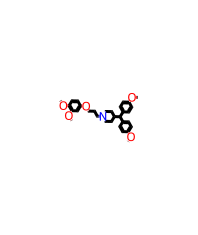 COc1ccc(C(c2ccc(OC)cc2)C2CCN(CCCOc3ccc(OC)c(OC)c3)CC2)cc1